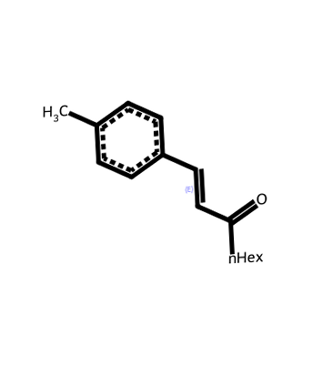 CCCCCCC(=O)/C=C/c1ccc(C)cc1